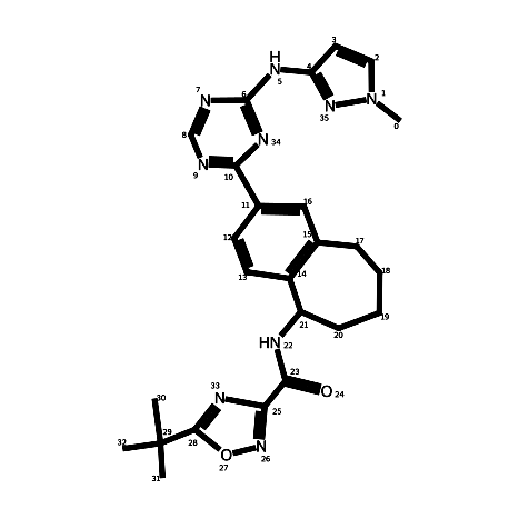 Cn1ccc(Nc2ncnc(-c3ccc4c(c3)CCCCC4NC(=O)c3noc(C(C)(C)C)n3)n2)n1